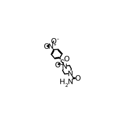 NC(=O)N1CCN(S(=O)(=O)c2ccc([N+](=O)[O-])cc2)CC1